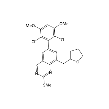 COc1cc(OC)c(Cl)c(-c2cc3cnc(SC)nc3c(CC3CCCO3)n2)c1Cl